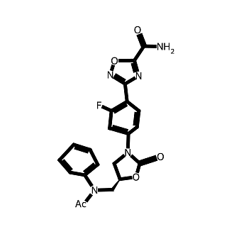 CC(=O)N(C[C@H]1CN(c2ccc(-c3noc(C(N)=O)n3)c(F)c2)C(=O)O1)c1ccccc1